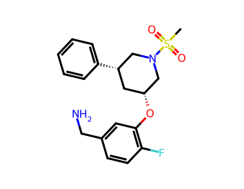 CS(=O)(=O)N1C[C@H](Oc2cc(CN)ccc2F)C[C@H](c2ccccc2)C1